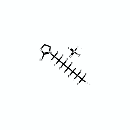 CCC1=[N+](C(F)(F)C(F)(F)C(F)(F)C(F)(F)C(F)(F)C(F)(F)C(F)(F)C(F)(F)F)CCO1.O=S(=O)([O-])C(F)(F)F